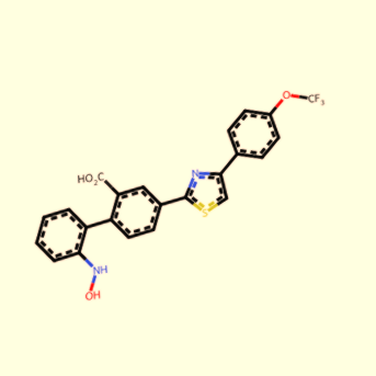 O=C(O)c1cc(-c2nc(-c3ccc(OC(F)(F)F)cc3)cs2)ccc1-c1ccccc1NO